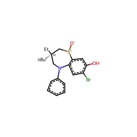 CCCC[C@@]1(CC)CN(c2ccccc2)c2cc(Br)c(O)cc2[S+]([O-])C1